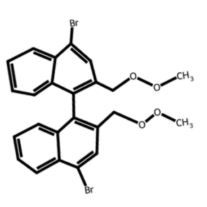 COOCc1cc(Br)c2ccccc2c1-c1c(COOC)cc(Br)c2ccccc12